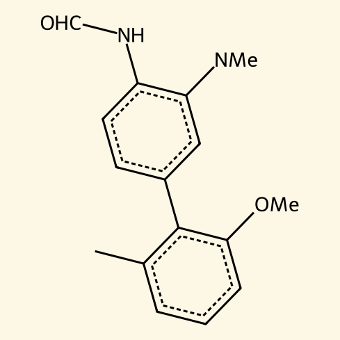 CNc1cc(-c2c(C)cccc2OC)ccc1NC=O